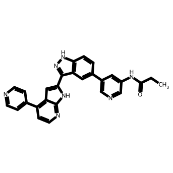 CCC(=O)Nc1cncc(-c2ccc3[nH]nc(-c4cc5c(-c6ccncc6)ccnc5[nH]4)c3c2)c1